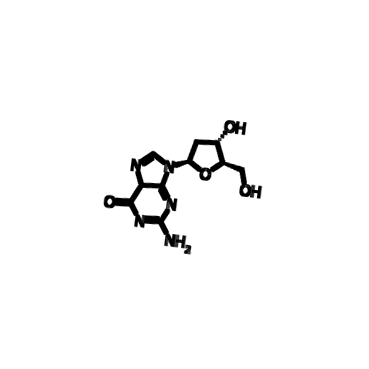 NC1=NC(=O)C2N=CN([C@H]3C[C@H](O)[C@@H](CO)O3)C2=N1